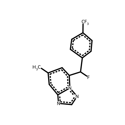 Cc1cc(C(F)c2ccc(C(F)(F)F)cc2)n2ncnc2c1